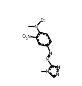 [CH2]CN(C)c1ccc(N=Nc2nncn2C)cc1[N+](=O)[O-]